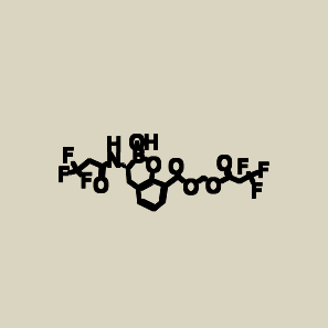 O=C(CC(F)(F)F)N[C@H]1Cc2cccc(C(=O)OCOC(=O)CC(F)(F)F)c2OB1O